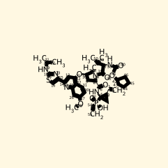 C=C[C@@H]1C[C@]1(NC(=O)[C@@H]1C[C@@H](Oc2cc(-c3csc(NC(C)C)n3)nc3cc(OC)ccc23)CN1C(=O)[C@@H](NC(=O)OC1CCCC1)C(C)(C)C)P(=O)(O)C=C